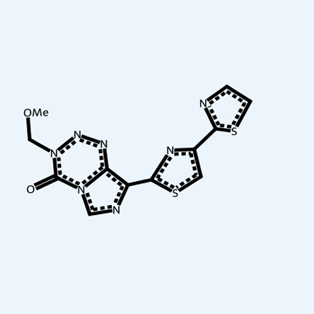 COCn1nnc2c(-c3nc(-c4nccs4)cs3)ncn2c1=O